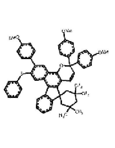 COc1ccc(-c2cc3c4c(c5c(c3cc2Sc2ccccc2)-c2ccccc2C52CC(C)(C)CC(C)(C)C2)C=CC(c2ccc(OC)cc2)(c2ccc(OC)cc2)O4)cc1